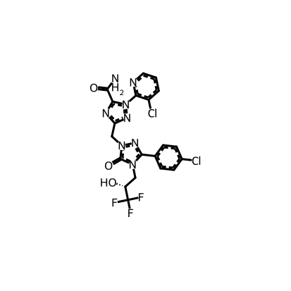 NC(=O)c1nc(Cn2nc(-c3ccc(Cl)cc3)n(C[C@@H](O)C(F)(F)F)c2=O)nn1-c1ncccc1Cl